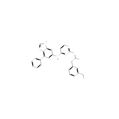 CC(Cc1cccc(CO)c1)Nc1nccc(N(C)c2cc(-c3ccccc3)c3ncn(C)c3c2)n1